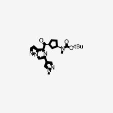 CN(C(=O)OC(C)(C)C)[C@@H]1CC[C@H](C(=O)c2nc(-c3cnn(C)c3)cn3nccc23)C1